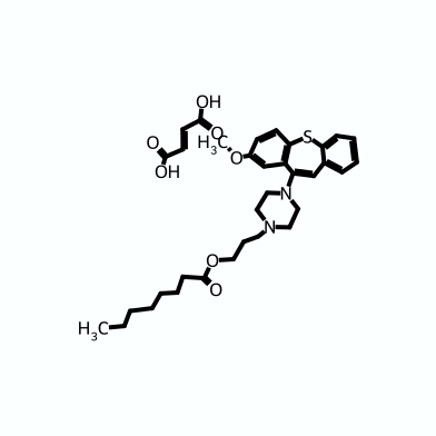 CCCCCCCC(=O)OCCCN1CCN(C2=Cc3ccccc3Sc3ccc(OC)cc32)CC1.O=C(O)C=CC(=O)O